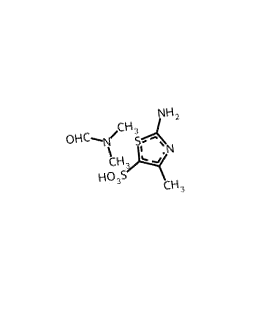 CN(C)C=O.Cc1nc(N)sc1S(=O)(=O)O